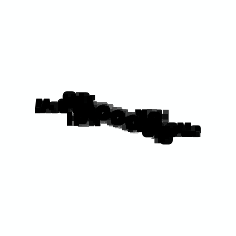 COC(=O)N[C@H](C(=O)N1CCC[C@H]1c1nc2cc(-c3ccc(-c4ccc5c(c4)nc([C@@H]4CCCN4C(=O)[C@@H](NC(=O)OC)C(C)C)n5C)cc3)ccc2[nH]1)C(C)C